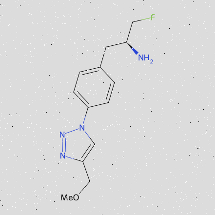 COCc1cn(-c2ccc(C[C@H](N)CF)cc2)nn1